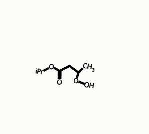 CC(C)OC(=O)CC(C)OO